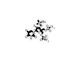 CC(C)(C)[Si](C)(C)O[C@H]1[C@H](F)[C@H](n2cc(F)c(=O)[nH]c2=O)OC1(COS(=O)(=O)C(F)(F)F)COS(=O)(=O)C(F)(F)F